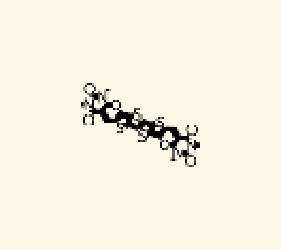 CN1C(=O)C(=Cc2cc3sc4c5sc(C=C6C(=O)N(C)C(=O)N(C)C6=O)cc5sc4c3s2)C(=O)N(C)C1=O